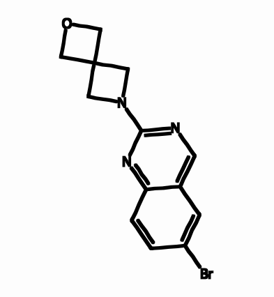 Brc1ccc2nc(N3CC4(COC4)C3)ncc2c1